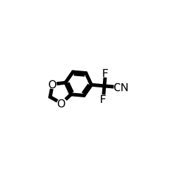 N#CC(F)(F)c1ccc2c(c1)OCO2